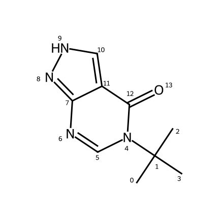 CC(C)(C)n1cnc2n[nH]cc2c1=O